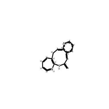 C=C1/C=c2/cccn/c2=C/CC2=C(N=C=CC=C2)S1